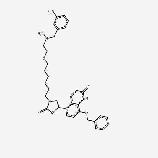 CN(CCOCCCCCCN1CC(c2ccc(OCc3ccccc3)c3[nH]c(=O)ccc23)OC1=O)Cc1cccc([N+](=O)[O-])c1